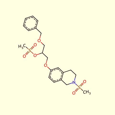 CS(=O)(=O)OC(COCc1ccccc1)COc1ccc2c(c1)CCN(S(C)(=O)=O)C2